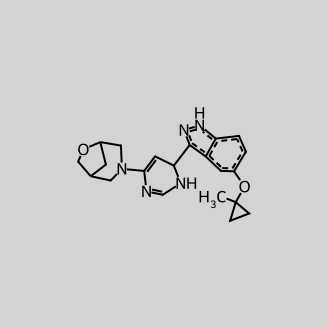 CC1(Oc2ccc3[nH]nc(C4C=C(N5CC6COC(C6)C5)N=CN4)c3c2)CC1